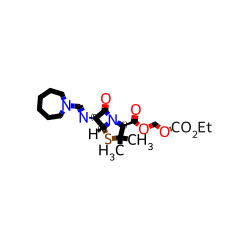 CCOC(=O)OCOC(=O)[C@@H]1N2C(=O)[C@@H](N=CN3CCCCCC3)[C@H]2SC1(C)C